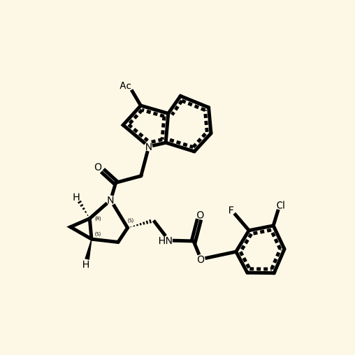 CC(=O)c1cn(CC(=O)N2[C@H](CNC(=O)Oc3cccc(Cl)c3F)C[C@@H]3C[C@H]32)c2ccccc12